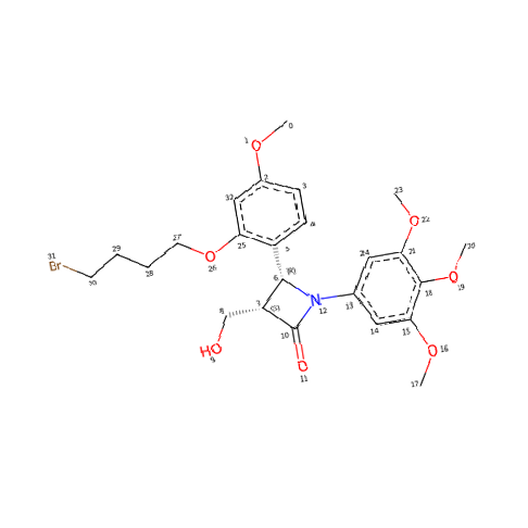 COc1ccc([C@H]2[C@@H](CO)C(=O)N2c2cc(OC)c(OC)c(OC)c2)c(OCCCCBr)c1